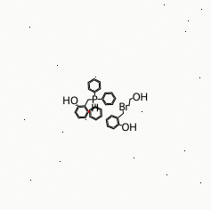 CCO.Oc1ccccc1CBr.Oc1ccccc1C[PH](c1ccccc1)(c1ccccc1)c1ccccc1